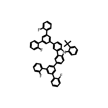 CC(C)(C)c1ccccc1-n1c2ccc(-c3cc(-c4ccccc4F)cc(-c4ccccc4F)c3)cc2c2cc(-c3cc(-c4ccccc4F)cc(-c4ccccc4F)c3)ccc21